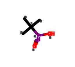 CC(C)(C)[PH](=O)O